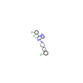 Cc1nc(N2CCC3(CC2)Cc2cccc(F)c2C3)c2ccnn2c1-c1cccc(F)c1F